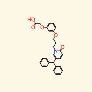 O=C(O)COc1cccc(OCCCn2cc(C(c3ccccc3)c3ccccc3)ccc2=O)c1